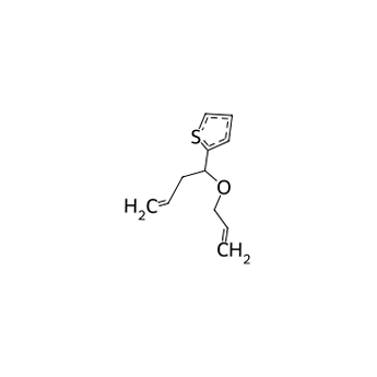 C=CCOC(CC=C)c1cccs1